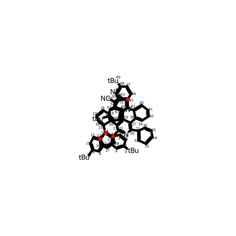 CC(C)(C)c1ccc2c(c1)c1cc(C(C)(C)C)ccc1n2-c1ccccc1-c1c(-c2ccccc2)nc(-c2ccccc2)c(-c2ccccc2-n2c3ccc(C(C)(C)C)cc3c3cc(C(C)(C)C)ccc32)c1-c1ccc(C#N)c(C#N)c1